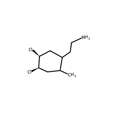 CC1C[C@@H](Cl)[C@@H](Cl)CC1CCN